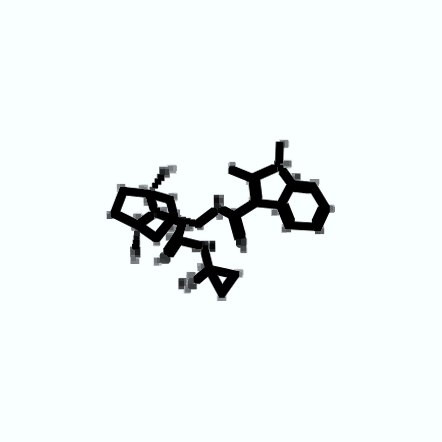 Cc1c(C(=O)NC[C@@H]2C[C@H]3CC[C@@H](C2)N3CC(=O)NC2(C(F)(F)F)CC2)c2ccccc2n1C